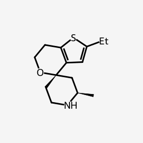 CCc1cc2c(s1)CCO[C@]21CCN[C@H](C)C1